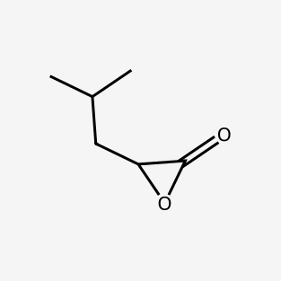 CC(C)CC1OC1=O